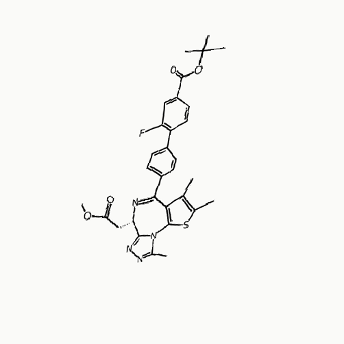 COC(=O)C[C@@H]1N=C(c2ccc(-c3ccc(C(=O)OC(C)(C)C)cc3F)cc2)c2c(sc(C)c2C)-n2c(C)nnc21